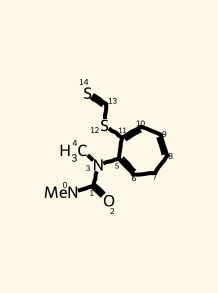 CNC(=O)N(C)C1=CCC=CC=C1SC=S